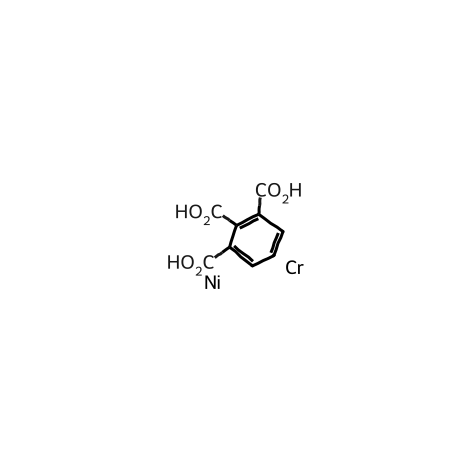 O=C(O)c1cccc(C(=O)O)c1C(=O)O.[Cr].[Ni]